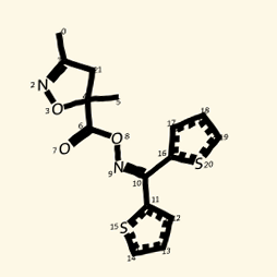 CC1=NOC(C)(C(=O)ON=C(c2cccs2)c2cccs2)C1